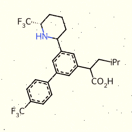 CC(C)CC(C(=O)O)c1cc(-c2ccc(C(F)(F)F)cc2)cc(C2CCC[C@@H](C(F)(F)F)N2)c1